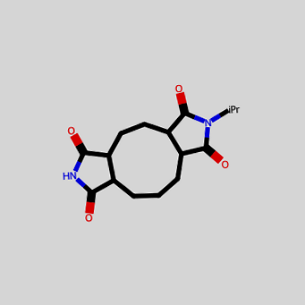 CC(C)N1C(=O)C2CCCC3C(=O)NC(=O)C3CCC2C1=O